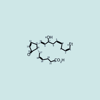 CC/C=C\C/C=C\CC(O)/C=C/[C@H]1C=CC(=O)[C@H]1C/C=C\CCC(=O)O